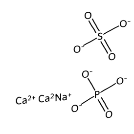 O=P([O-])([O-])[O-].O=S(=O)([O-])[O-].[Ca+2].[Ca+2].[Na+]